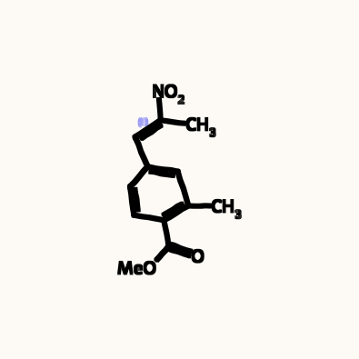 COC(=O)c1ccc(/C=C(\C)[N+](=O)[O-])cc1C